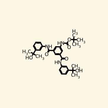 CC(C)(C)OC(=O)Nc1cc(C(=O)Nc2cccc(C(C)(C)O)c2)cc(C(=O)Nc2cccc(C(C)(C)O)c2)c1